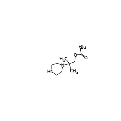 CC(C)(C)C(=O)OCC(C)(C)N1CCNCC1